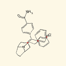 Cl.NC(=O)c1ccc(C(=C2CC3CCC(C2)N3CCc2ccccc2)c2ccccc2)cc1